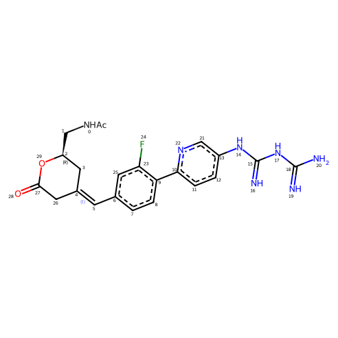 CC(=O)NC[C@H]1C/C(=C\c2ccc(-c3ccc(NC(=N)NC(=N)N)cn3)c(F)c2)CC(=O)O1